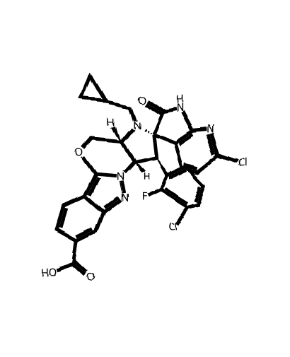 O=C(O)c1ccc2c3n(nc2c1)[C@@H]1[C@H](CO3)N(CC2CC2)[C@@]2(C(=O)Nc3nc(Cl)ccc32)[C@H]1c1cccc(Cl)c1F